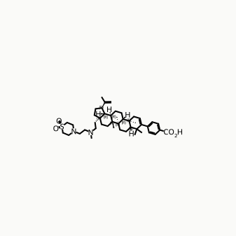 C=C(C)[C@@H]1CC[C@]2(CCN(C)CCN3CCS(=O)(=O)CC3)CC[C@]3(C)[C@H](CC[C@@H]4[C@@]5(C)CC=C(c6ccc(C(=O)O)cc6)C(C)(C)[C@@H]5CC[C@]43C)[C@@H]12